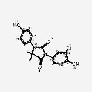 CC1(C)C(=O)N(c2cnc(C#N)c(Cl)c2)C(=S)N1c1ccc(O)cc1